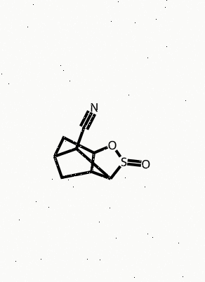 N#CC1C2CC3OS(=O)C1C3C2